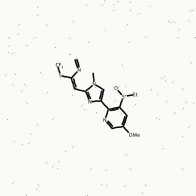 C=N/C(=C\c1nc(-c2ncc(OC)cc2[S+]([O-])CC)cn1C)SC(F)(F)F